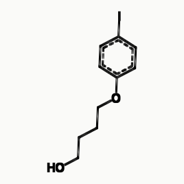 OCCCCOc1ccc(I)cc1